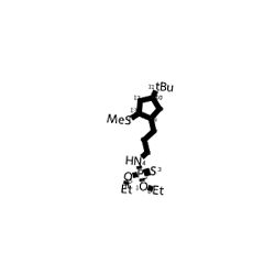 CCOP(=S)(NCCCC1CC(C(C)(C)C)CC1SC)OCC